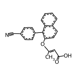 CC(=CC(=O)O)Oc1ccc2ccccc2c1-c1ccc(C#N)cc1